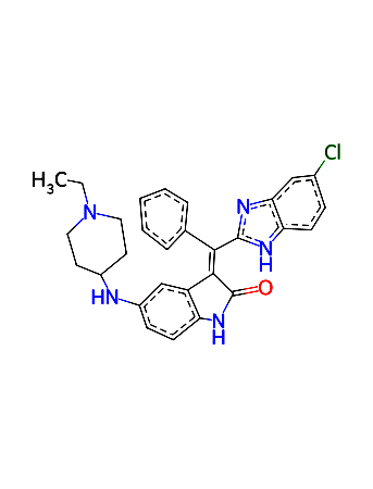 CCN1CCC(Nc2ccc3c(c2)C(=C(c2ccccc2)c2nc4cc(Cl)ccc4[nH]2)C(=O)N3)CC1